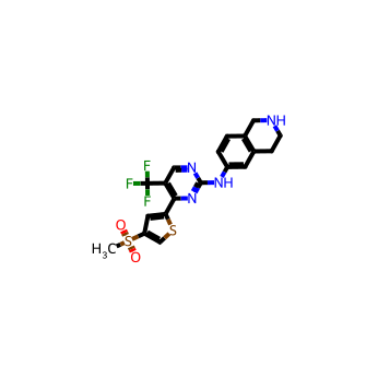 CS(=O)(=O)c1csc(-c2nc(Nc3ccc4c(c3)CCNC4)ncc2C(F)(F)F)c1